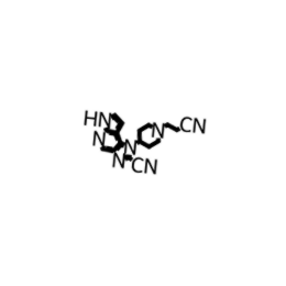 N#CCCN1CCC(n2c(C#N)nc3cnc4[nH]ccc4c32)CC1